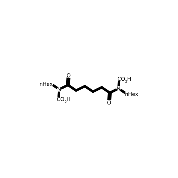 CCCCCCN(C(=O)O)C(=O)CCCCC(=O)N(CCCCCC)C(=O)O